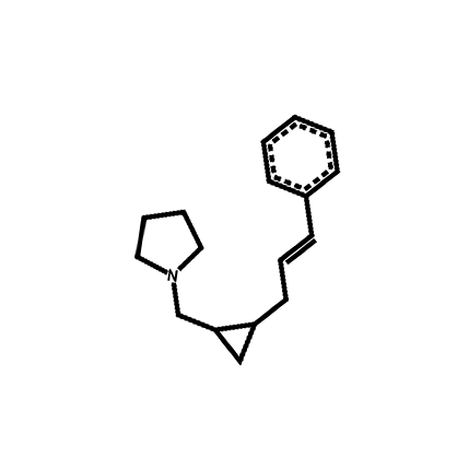 C(=C\c1ccccc1)/CC1CC1CN1CCCC1